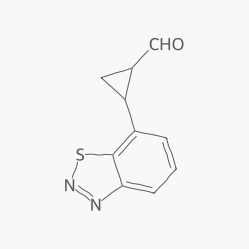 O=CC1CC1c1cccc2nnsc12